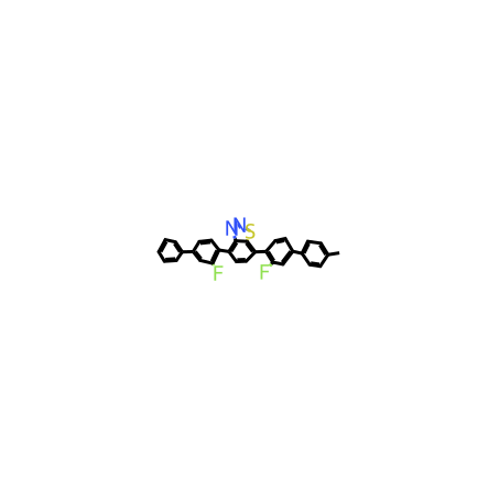 Cc1ccc(-c2ccc(-c3ccc(-c4ccc(-c5ccccc5)cc4F)c4nnsc34)c(F)c2)cc1